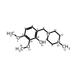 COc1ccc(CN2CCN(C)CC2)c(O)c1OC